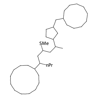 CCCC(CC(CC(C)C1CCC(CC2CCCCCCCCC2)C1)SC)C1CCCCCCCCCCC1